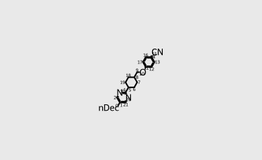 CCCCCCCCCCc1cnc(C2CCC(COc3ccc(C#N)cc3)CC2)nc1